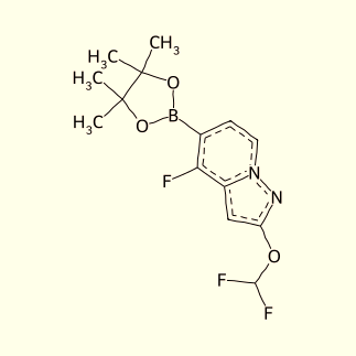 CC1(C)OB(c2ccn3nc(OC(F)F)cc3c2F)OC1(C)C